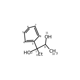 CCC(O)(c1ccccc1)C(C)O